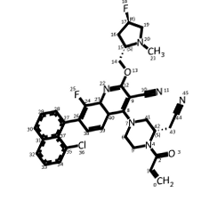 C=CC(=O)N1CCN(C2=C(C#N)C(OC[C@@H]3C[C@@H](F)CN3C)=NC3C(F)=C(c4cccc5cccc(Cl)c45)C=CC23)C[C@@H]1CC#N